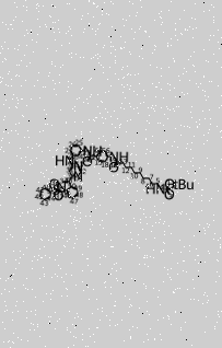 CC(C)(C)OC(=O)NCCCCCCCCCC(=O)Nc1ccc(C(=O)Nc2cccc(Nc3cc(-c4cn(S(=O)(=O)c5ccccc5)c5ccccc45)ncn3)c2)cc1